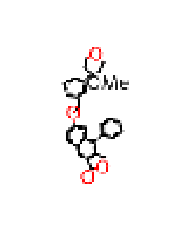 COC1(c2cccc(COc3ccc4cc5c(c(-c6ccccc6)c4c3)COC5=O)c2)CCOCC1